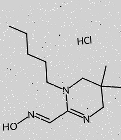 CCCCCN1CC(C)(C)CN=C1C=NO.Cl